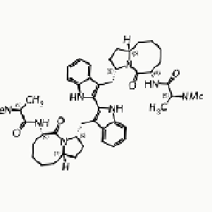 CN[C@@H](C)C(=O)N[C@H]1CCCC[C@H]2CC[C@@H](Cc3c(-c4[nH]c5ccccc5c4C[C@@H]4CC[C@@H]5CCCC[C@H](NC(=O)[C@H](C)NC)C(=O)N54)[nH]c4ccccc34)N2C1=O